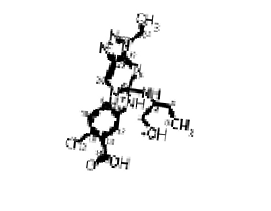 CCC(CO)NC1(Nc2ccc(Cl)c(C(=O)O)c2)N=c2c(nnn2CC)=CN1